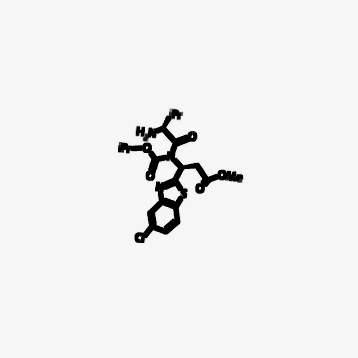 COC(=O)C[C@@H](c1nc2cc(Cl)ccc2s1)N(C(=O)OC(C)C)C(=O)[C@@H](N)C(C)C